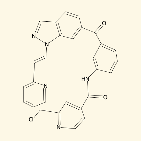 O=C(Nc1cccc(C(=O)c2ccc3cnn(C=Cc4ccccn4)c3c2)c1)c1ccnc(CCl)c1